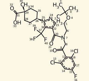 CC(C)(C)OCCN(CC(=O)c1c(Cl)cc(F)cc1Cl)C(=O)c1cnn([C@H]2CC[C@](C)(C(=O)O)CC2)c1C(F)(F)F